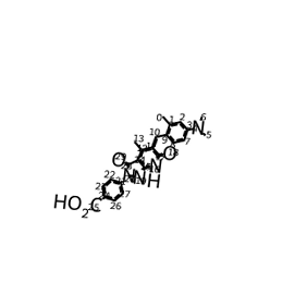 Cc1cc(N(C)C)ccc1/C=c1/c(C)c2c([nH]c1=O)=NN(c1ccc(C(=O)O)cc1)C2=O